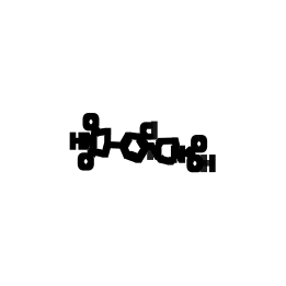 O=C1CC(c2ccc(N3CCN(C(=O)O)CC3)c(Cl)c2)CC(=O)N1